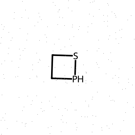 C1CSP1